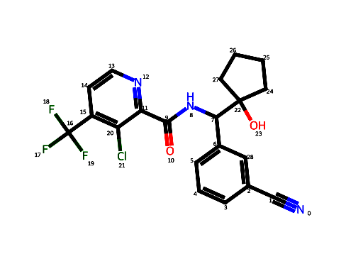 N#Cc1cccc(C(NC(=O)c2nccc(C(F)(F)F)c2Cl)C2(O)CCCC2)c1